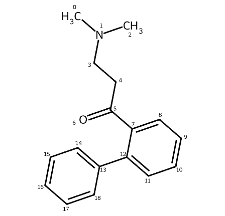 CN(C)CCC(=O)c1ccccc1-c1ccccc1